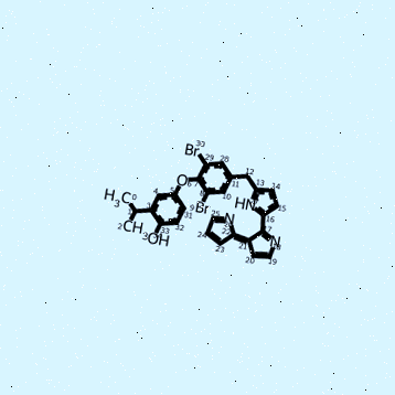 CC(C)c1cc(Oc2c(Br)cc(Cc3ccc(C4=NC=CC4=C4C=CC=N4)[nH]3)cc2Br)ccc1O